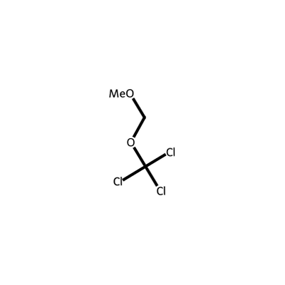 COCOC(Cl)(Cl)Cl